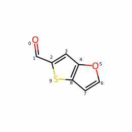 O=Cc1cc2occc2s1